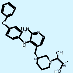 C[C@H](O)C(O)N1CCC[C@@H](Cc2ccnc(N)c2Nc2ccc(Oc3ccccc3)cc2)C1